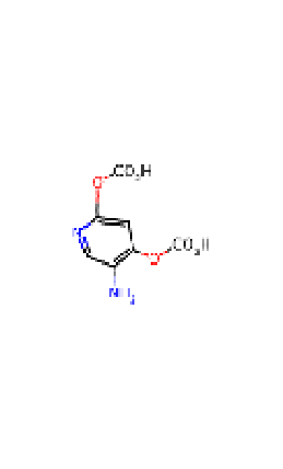 Nc1cnc(OC(=O)O)cc1OC(=O)O